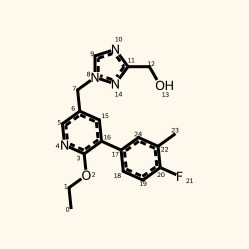 CCOc1ncc(Cn2cnc(CO)n2)cc1-c1ccc(F)c(C)c1